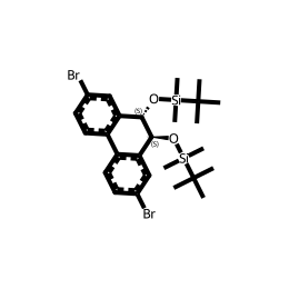 CC(C)(C)[Si](C)(C)O[C@H]1c2cc(Br)ccc2-c2ccc(Br)cc2[C@@H]1O[Si](C)(C)C(C)(C)C